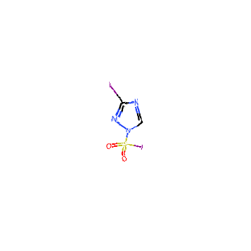 O=S(=O)(I)n1cnc(I)n1